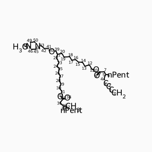 C=C=C=C=CC(CCCCC)CC(=O)OCCCCCCCCCCC(CCCCCCCCCCOC(=O)CC(C)CCCCC)COCCCN1CCN(C)CC1